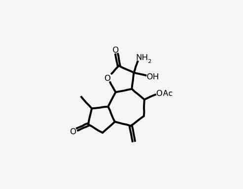 C=C1CC(OC(C)=O)C2C(OC(=O)C2(N)O)C2C(C)C(=O)CC12